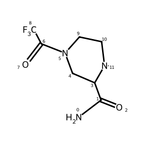 NC(=O)C1CN(C(=O)C(F)(F)F)CC[N]1